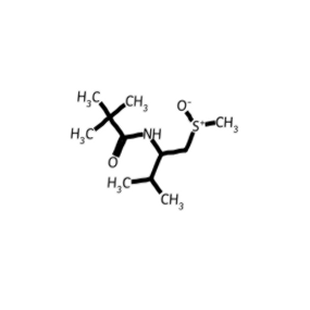 CC(C)C(C[S+](C)[O-])NC(=O)C(C)(C)C